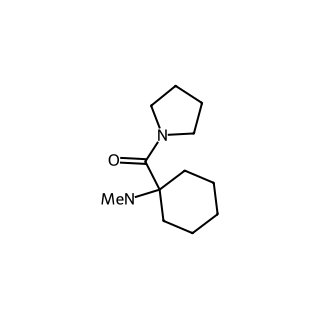 CNC1(C(=O)N2CCCC2)CCCCC1